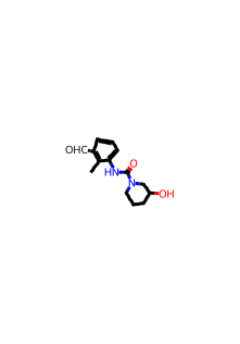 Cc1c(C=O)cccc1NC(=O)N1CCCC(O)C1